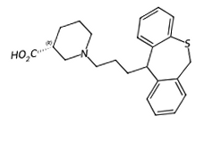 O=C(O)[C@@H]1CCCN(CCCC2c3ccccc3CSc3ccccc32)C1